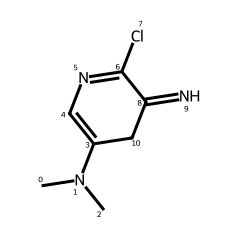 CN(C)C1=CN=C(Cl)C(=N)C1